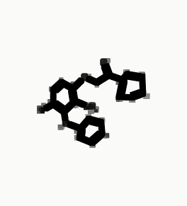 O=C(COc1ccc(Br)c(Oc2ccccc2)c1[N+](=O)[O-])c1ccccc1